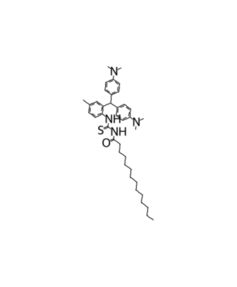 CCCCCCCCCCCCCC(=O)NC(=S)Nc1ccc(C)cc1C(c1ccc(N(C)C)cc1)c1ccc(N(C)C)cc1